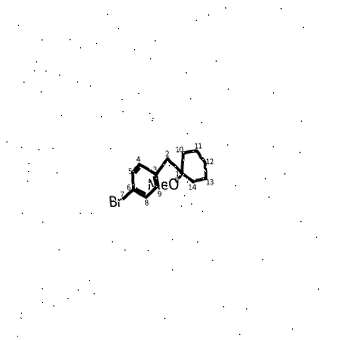 COC1(Cc2ccc(Br)cc2)CCCCC1